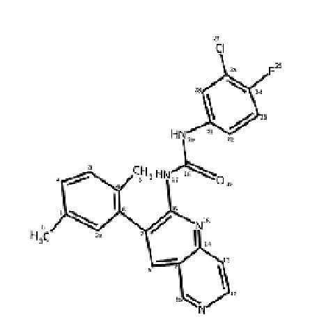 Cc1ccc(C)c(-c2cc3cnccc3nc2NC(=O)Nc2ccc(F)c(Cl)c2)c1